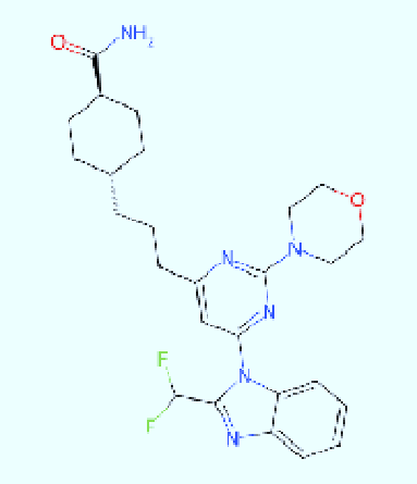 NC(=O)[C@H]1CC[C@H](CCCc2cc(-n3c(C(F)F)nc4ccccc43)nc(N3CCOCC3)n2)CC1